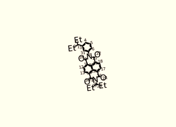 CCC(CC)c1cccc(N2C(=O)c3ccc4c5c(ccc(c35)C2=O)C(=O)N(C(CC)CC)C4=O)c1